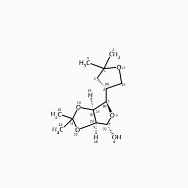 CC1(C)C[C@@H]([C@H]2O[C@H](O)[C@H]3OC(C)(C)O[C@@H]23)CO1